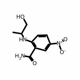 CC(CO)Nc1ccc([N+](=O)[O-])cc1C(N)=O